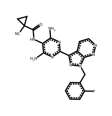 N#CC1(C(=O)Nc2c(N)nc(-c3nn(Cc4ccccc4F)c4nnccc34)nc2N)CC1